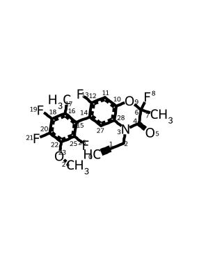 C#CCN1C(=O)C(C)(F)Oc2cc(F)c(-c3c(C)c(F)c(F)c(OC)c3F)cc21